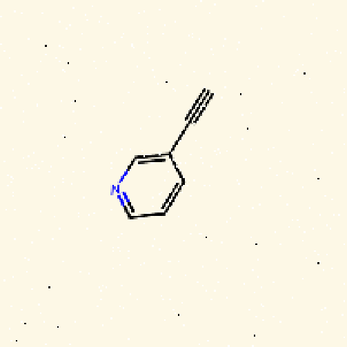 C#Cc1[c]ccnc1